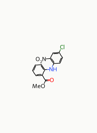 COC(=O)c1ccccc1Nc1ccc(Cl)cc1[N+](=O)[O-]